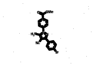 COC(=O)c1ccc(-n2nc(-c3ccc(Br)cc3)c(C#N)c2N)cc1